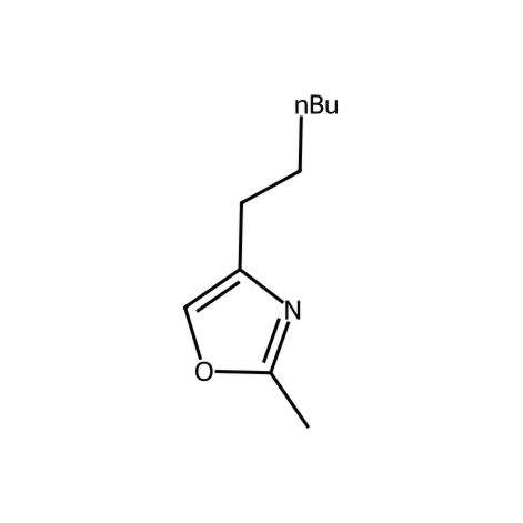 [CH2]CCCCCc1coc(C)n1